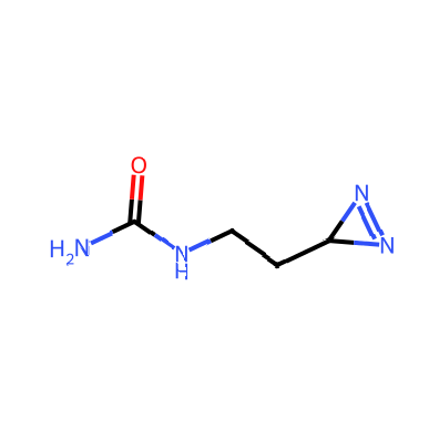 NC(=O)NCCC1N=N1